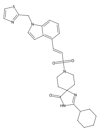 O=C1NC(C2CCCCC2)=NC12CCN(S(=O)(=O)C=Cc1cccc3c1ccn3Cc1nccs1)CC2